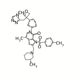 Cc1ccc(S(=O)(=O)n2c(CN3CCC[C@H](C)C3)cc3c(C)cn(-c4cccc(C5(Cc6nncn6C)COC5)c4)c(=O)c32)cc1